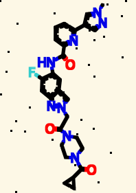 Cn1cc(-c2cccc(C(=O)Nc3cc4cn(CC(=O)N5CCN(C(=O)C6CC6)CC5)nc4cc3F)n2)cn1